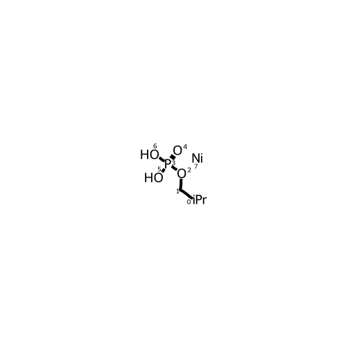 CC(C)COP(=O)(O)O.[Ni]